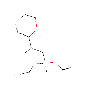 CCO[Si](C)(CC(C)C1CNCCO1)OCC